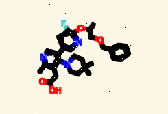 Cc1ncc(-c2cnc(OC(C)COCc3ccccc3)c(F)c2)c(N2CCC(C)(C)CC2)c1CC(=O)O